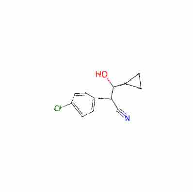 N#CC(c1ccc(Cl)cc1)C(O)C1CC1